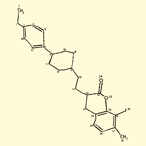 CCc1ccc(C2CCC(CCC3Cc4ccc(C)c(F)c4OC3=O)CC2)cc1